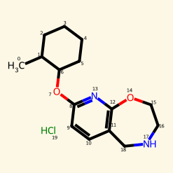 CC1CCCCC1Oc1ccc2c(n1)OCCNC2.Cl